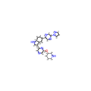 c1cnn(-c2cnc(-c3ccc4[nH]cc(-c5cncc(OC6CCCNC6)n5)c4c3)cn2)c1